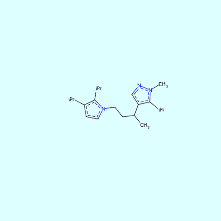 CC(C)c1ccn(CCC(C)c2cnn(C)c2C(C)C)c1C(C)C